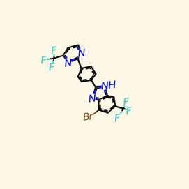 FC(F)(F)c1cc(Br)c2nc(-c3ccc(-c4nccc(C(F)(F)F)n4)cc3)[nH]c2c1